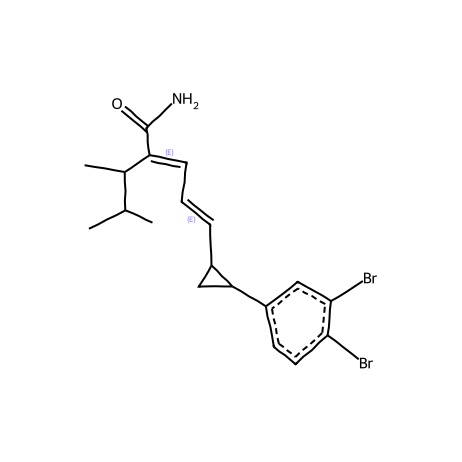 CC(C)C(C)/C(=C\C=C\C1CC1c1ccc(Br)c(Br)c1)C(N)=O